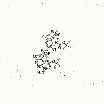 CC(C)(C)OC(=O)N1CC(C)(C(F)(F)F)c2c(Cl)nnc(Cl)c21.CC(C)(C)OC(=O)N1CC(C)(C(F)(F)F)c2c(Cl)nnc(NN)c21